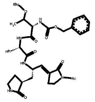 CCC[C@H](NC(=O)[C@@H](NC(=O)OCc1ccccc1)C(C)OC(C)(C)C)C(=O)N[C@H](/C=C1\CCN(C(C)=O)C1=O)C[C@@H]1CCNC1=O